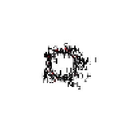 CCCC[C@H]1C(=O)N(C)[C@@H](CCCC)C(=O)N[C@@H](CCC(=O)O)C(=O)N[C@H](C(=O)NCC(N)=O)CSCC(=O)N[C@@H](Cc2ccc(O)cc2)C(=O)N(C)[C@@H](C)C(=O)N[C@@H](CC(=O)O)C(=O)N2CCC[C@H]2C(=O)N[C@@H](CO)C(=O)N[C@@H](CC(C)C)C(=O)N2C[C@H](O)C[C@H]2C(=O)N[C@@H](Cc2c[nH]c3ccccc23)C(=O)N[C@@H](CCN)C(=O)N[C@@H](Cc2cn(CC(=O)O)c3ccccc23)C(=O)N1C